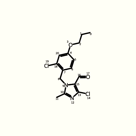 CCCOc1ccc(Cn2c(C)nc(Cl)c2C=O)c(Cl)c1